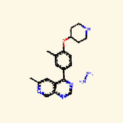 Cc1cc2c(-c3ccc(OC4CCNCC4)c(C)c3)ncnc2cn1.NN